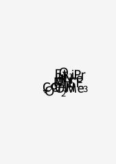 CC[C@@H](CNc1ccc(OC2(C(=O)O)CC2)cc1OC)NC(=O)[C@H](CC(C)C)N[C@@H](Cc1ccccc1)C(F)(F)F